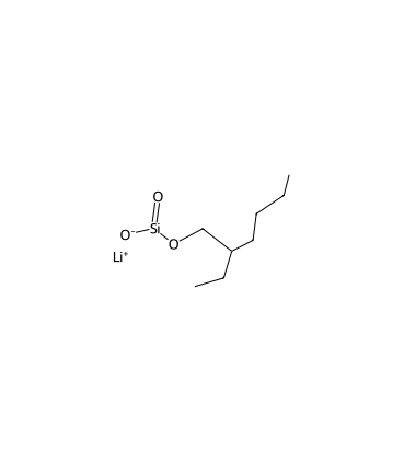 CCCCC(CC)CO[Si](=O)[O-].[Li+]